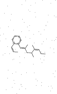 C/C=C\c1ccccc1/C=C(\C)CC(C)/C(C)=C\CC